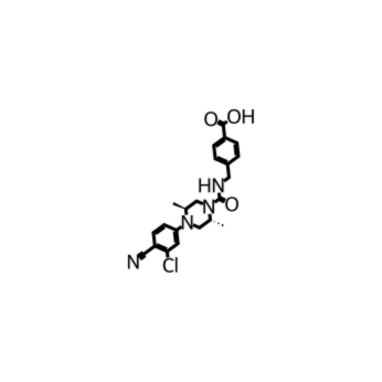 C[C@@H]1CN(c2ccc(C#N)c(Cl)c2)[C@@H](C)CN1C(=O)NCc1ccc(C(=O)O)cc1